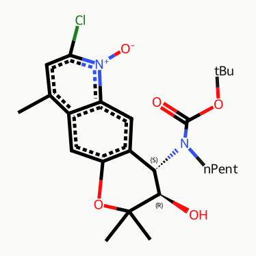 CCCCCN(C(=O)OC(C)(C)C)[C@H]1c2cc3c(cc2OC(C)(C)[C@@H]1O)c(C)cc(Cl)[n+]3[O-]